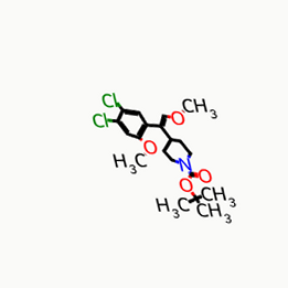 COC=C(c1cc(Cl)c(Cl)cc1OC)C1CCN(C(=O)OC(C)(C)C)CC1